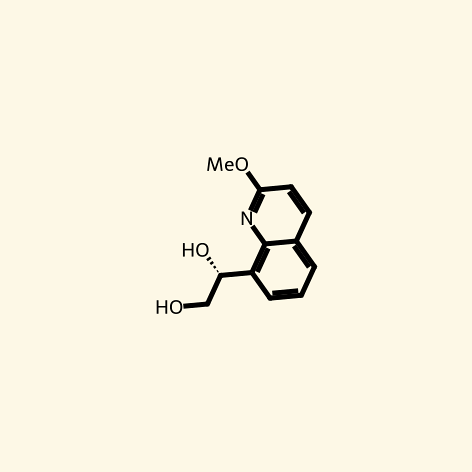 COc1ccc2cccc([C@@H](O)CO)c2n1